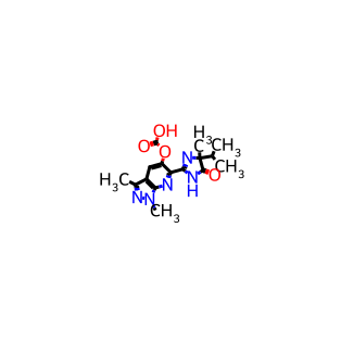 Cc1nn(C)c2nc(C3=NC(C)(C(C)C)C(=O)N3)c(OC(=O)O)cc12